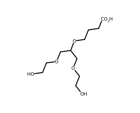 O=C(O)CCCOC(COCCO)COCCO